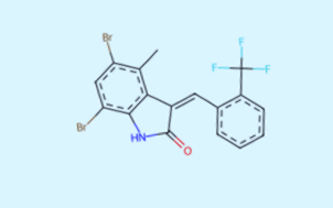 Cc1c(Br)cc(Br)c2c1C(=Cc1ccccc1C(F)(F)F)C(=O)N2